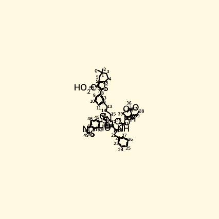 CC1(C)CCc2sc(-c3cccc(CCCN(C[C@@H](O)[C@H](Cc4ccccc4)NC(=O)O[C@H]4CO[C@@]5(C)OCC[C@@H]45)S(=O)(=O)c4ccc5ncsc5c4)c3)c(C(=O)O)c2C1